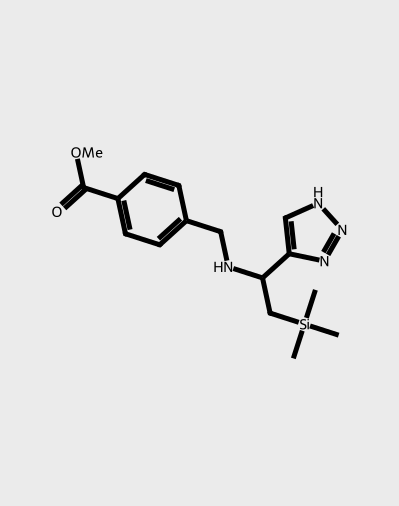 COC(=O)c1ccc(CNC(C[Si](C)(C)C)c2c[nH]nn2)cc1